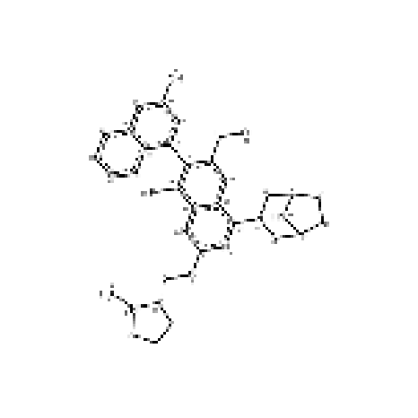 CN1CCC[C@H]1COc1nc(N2CC3CCC(C2)N3)c2cc(CO)c(-c3cc(O)cc4ccccc34)c(F)c2n1